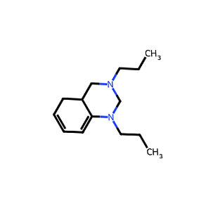 CCCN1CC2CC=CC=C2N(CCC)C1